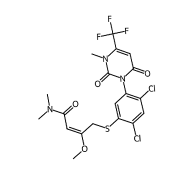 CO/C(=C/C(=O)N(C)C)CSc1cc(-n2c(=O)cc(C(F)(F)F)n(C)c2=O)c(Cl)cc1Cl